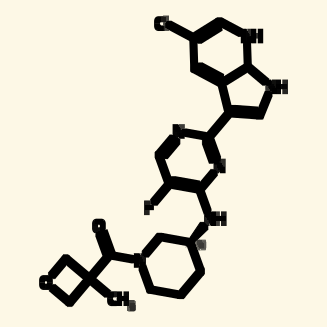 CC1(C(=O)N2CCC[C@H](Nc3nc(C4=CNC5NC=C(Cl)C=C45)ncc3F)C2)COC1